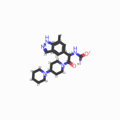 Cc1cc(C(NC(=O)I)C(=O)N2CCC(N3CCCCC3)CC2)cc2cn[nH]c12